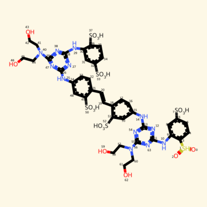 O=[SH](=O)c1ccc(S(=O)(=O)O)cc1Nc1nc(Nc2ccc(/C=C/c3ccc(Nc4nc(Nc5cc(S(=O)(=O)O)ccc5S(=O)(=O)O)nc(N(CCO)CCO)n4)cc3S(=O)(=O)O)c(S(=O)(=O)O)c2)nc(N(CCO)CCO)n1